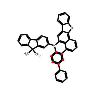 CC1(C)c2ccccc2-c2ccc(N(c3ccc(-c4ccccc4)cc3)c3cc4c5ccccc5oc4c4cccc(-c5ccccc5)c34)cc21